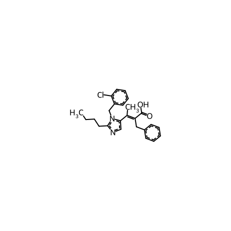 CCCCc1ncc(C(C)=C(Cc2ccccc2)C(=O)O)n1Cc1ccccc1Cl